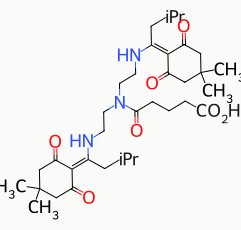 CC(C)CC(NCCN(CCNC(CC(C)C)=C1C(=O)CC(C)(C)CC1=O)C(=O)CCCC(=O)O)=C1C(=O)CC(C)(C)CC1=O